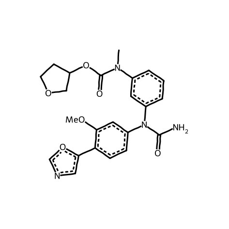 COc1cc(N(C(N)=O)c2cccc(N(C)C(=O)OC3CCOC3)c2)ccc1-c1cnco1